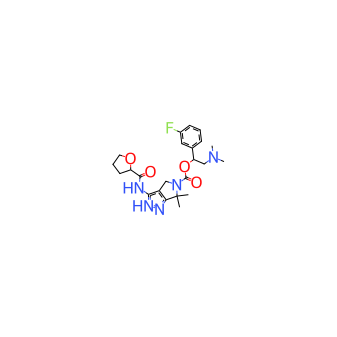 CN(C)CC(OC(=O)N1Cc2c(n[nH]c2NC(=O)C2CCCO2)C1(C)C)c1cccc(F)c1